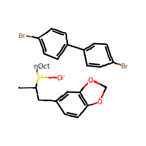 Brc1ccc(-c2ccc(Br)cc2)cc1.CCCCCCCC[S+]([O-])C(C)Cc1ccc2c(c1)OCO2